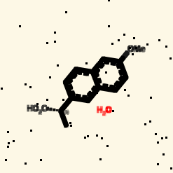 COc1ccc2cc([C@H](C)C(=O)O)ccc2c1.O